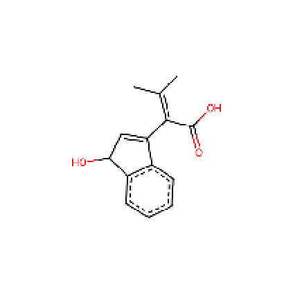 CC(C)=C(C(=O)O)C1=CC(O)c2ccccc21